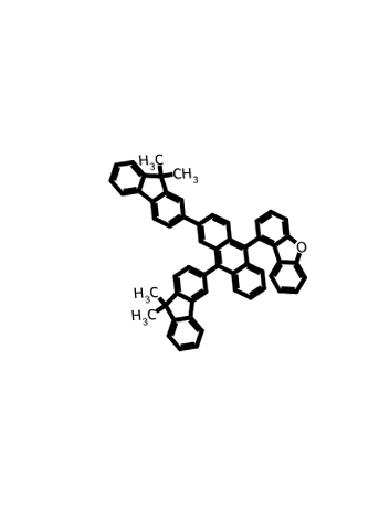 CC1(C)c2ccccc2-c2cc(-c3c4ccccc4c(-c4cccc5oc6ccccc6c45)c4ccc(-c5ccc6c(c5)C(C)(C)c5ccccc5-6)cc34)ccc21